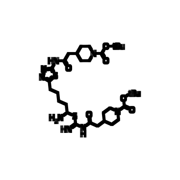 CC(C)(C)OC(=O)N1CCC(CC(=O)NC(=N)SC(N)CCCCc2nnc(NC(=O)CC3CCN(C(=O)OC(C)(C)C)CC3)s2)CC1